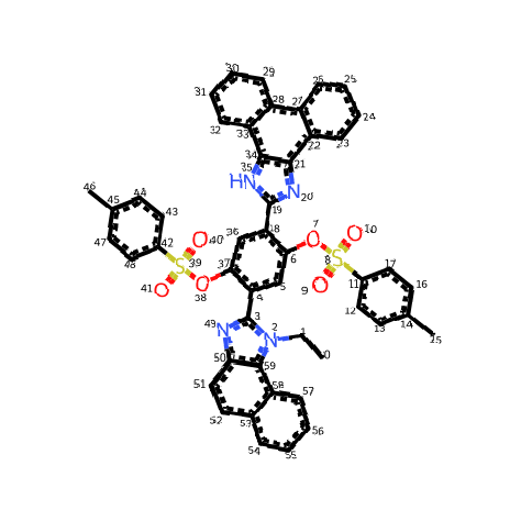 CCn1c(-c2cc(OS(=O)(=O)c3ccc(C)cc3)c(-c3nc4c5ccccc5c5ccccc5c4[nH]3)cc2OS(=O)(=O)c2ccc(C)cc2)nc2ccc3ccccc3c21